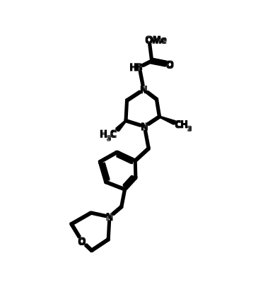 COC(=O)BN1C[C@@H](C)N(Cc2cccc(CN3CCOCC3)c2)[C@@H](C)C1